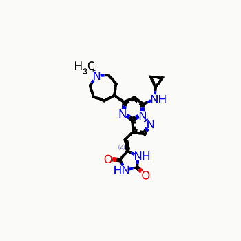 CN1CCCC(c2cc(NC3CC3)n3ncc(/C=C4\NC(=O)NC4=O)c3n2)CC1